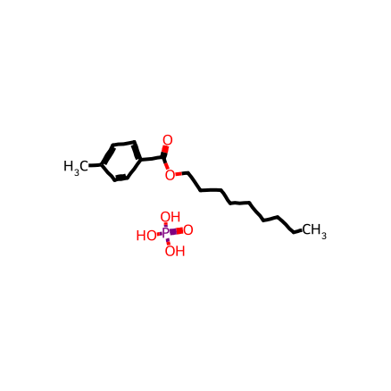 CCCCCCCCCOC(=O)c1ccc(C)cc1.O=P(O)(O)O